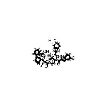 CN1CCc2nc(C(=O)N[C@@H]3CN(C(=O)C(C)(C)CO[Si](c4ccccc4)(c4ccccc4)C(C)(C)C)CC[C@@H]3NC(=O)c3cc4cc(Cl)ccc4[nH]3)sc2C1